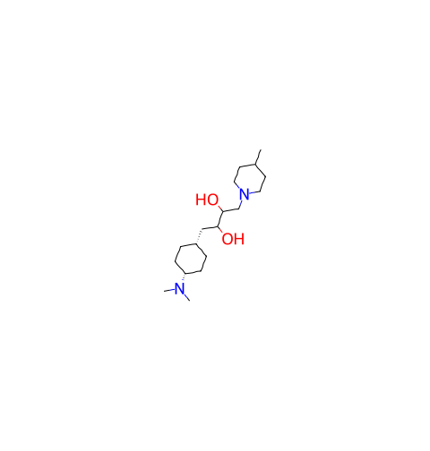 CC1CCN(CC(O)C(O)C[C@H]2CC[C@@H](N(C)C)CC2)CC1